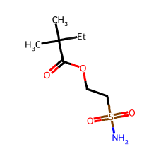 CCC(C)(C)C(=O)OCCS(N)(=O)=O